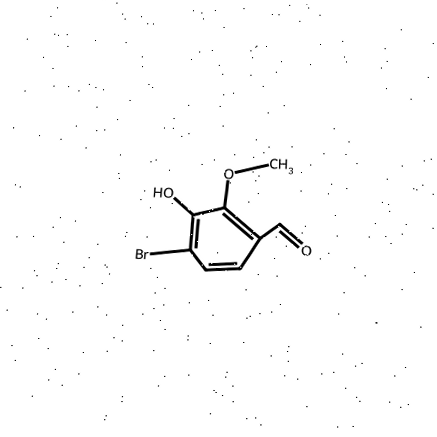 COc1c(C=O)ccc(Br)c1O